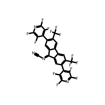 N#CN=C1c2cc(-c3c(F)c(F)nc(F)c3F)c(C(F)(F)F)cc2-c2cc(C(F)(F)F)c(-c3c(F)c(F)nc(F)c3F)cc21